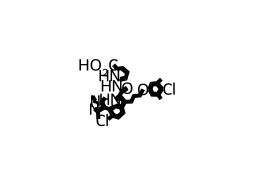 Cc1cc(OCCCc2c(C(=O)NC3=CC=CC(C(=O)O)N3)[nH]c3c(-c4c(C)nn(C)c4C)c(Cl)ccc23)cc(C)c1Cl